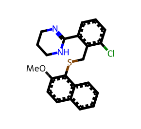 COc1ccc2ccccc2c1SCc1c(Cl)cccc1C1=NCCCN1